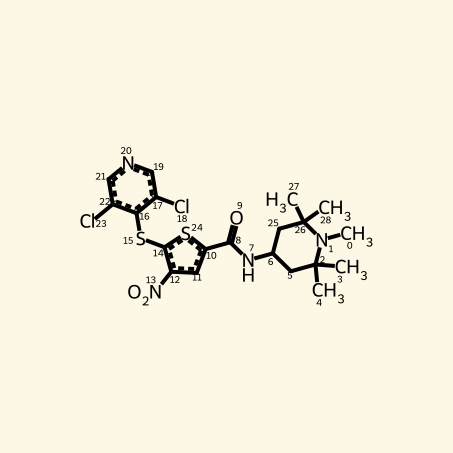 CN1C(C)(C)CC(NC(=O)c2cc([N+](=O)[O-])c(Sc3c(Cl)cncc3Cl)s2)CC1(C)C